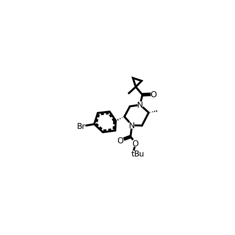 C[C@@H]1CN(C(=O)OC(C)(C)C)[C@H](c2ccc(Br)cc2)CN1C(=O)C1(C)CC1